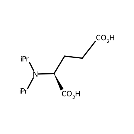 CC(C)N(C(C)C)[C@@H](CCC(=O)O)C(=O)O